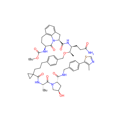 Cc1ncsc1-c1ccc(CNC(=O)[C@@H]2C[C@@H](O)CN2C(=O)[C@@H](NC(=O)C2(CCCc3ccc(CO[C@H](C)[C@H](CCC(N)=O)NC(=O)[C@@H]4Cc5cccc6c5N4C(=O)[C@@H](NC(=O)OC(C)(C)C)CC6)cc3)CC2)C(C)(C)C)cc1